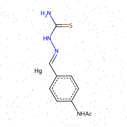 CC(=O)Nc1ccc(C=NNC(N)=S)cc1.[Hg]